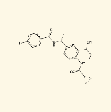 CC(NC(=O)c1ccc(F)cc1)c1ccc2c(n1)C(O)CCN2C(=O)C1CC1